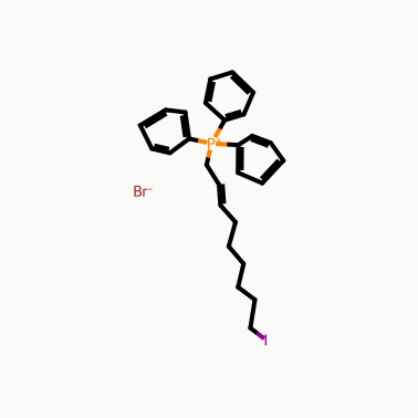 ICCCCCCC=CC[P+](c1ccccc1)(c1ccccc1)c1ccccc1.[Br-]